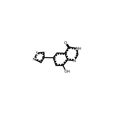 O=c1[nH]cnc2c(O)cc(-c3cnsc3)cc12